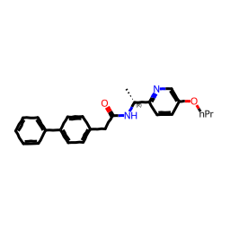 CCCOc1ccc([C@@H](C)NC(=O)Cc2ccc(-c3ccccc3)cc2)nc1